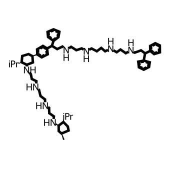 CC(C)[C@@H]1CC[C@@H](c2ccc(C(CCNCCCNCCCCNCCCNCCC(c3ccccc3)c3ccccc3)c3ccccc3)cc2)CC1NCCCNCCCNCCCN[C@@H]1C[C@H](C)CC[C@H]1C(C)C